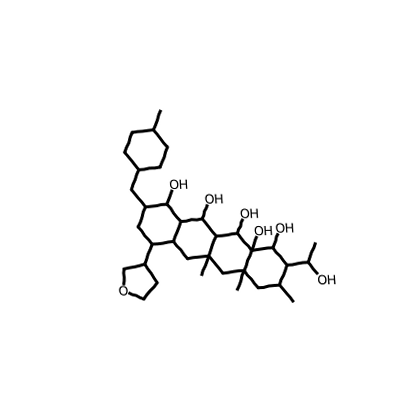 CC1CCC(CC2CC(C3CCOC3)C3CC4(C)CC5(C)CC(C)C(C(C)O)C(O)C5(O)C(O)C4C(O)C3C2O)CC1